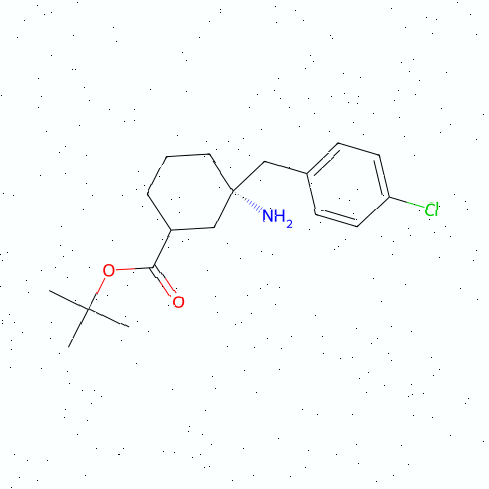 CC(C)(C)OC(=O)C1CCC[C@@](N)(Cc2ccc(Cl)cc2)C1